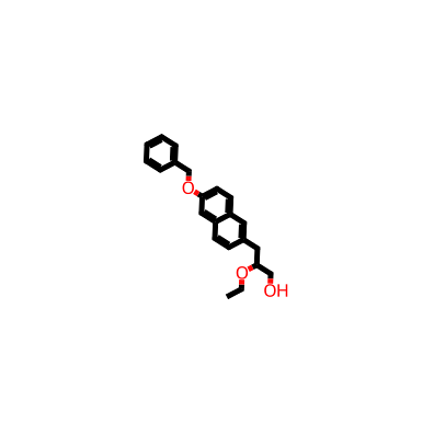 CCOC(CO)Cc1ccc2cc(OCc3ccccc3)ccc2c1